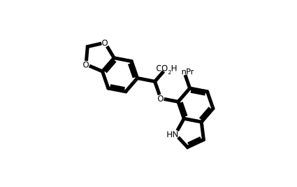 CCCc1ccc2cc[nH]c2c1OC(C(=O)O)c1ccc2c(c1)OCO2